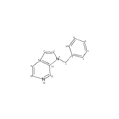 c1ccc(Cn2ccc3ccncc32)cc1